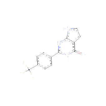 O=c1[nH]c(-c2ccc(C(F)(F)F)cc2)nc2[nH]ccc12